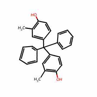 Cc1cc(C(c2ccccc2)(c2ccccc2)c2ccc(O)c(C)c2)ccc1O